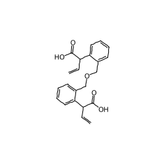 C=CC(C(=O)O)c1ccccc1COCc1ccccc1C(C=C)C(=O)O